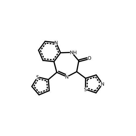 O=C1Nc2ncccc2C(c2cccs2)=NC1c1cncs1